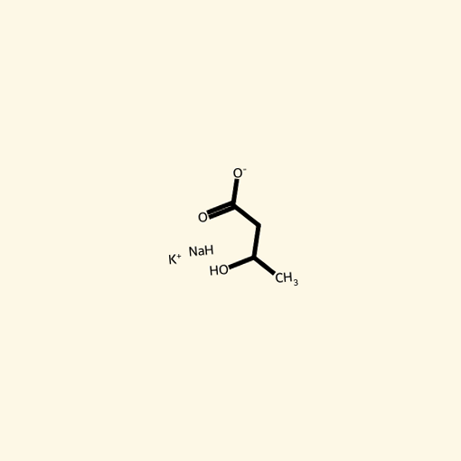 CC(O)CC(=O)[O-].[K+].[NaH]